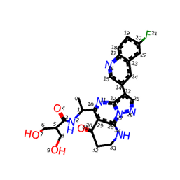 CC(NC(=O)C(CO)CO)c1nc2c(-c3cnc4ccc(F)cc4c3)cnn2c2c1C(=O)CCN2